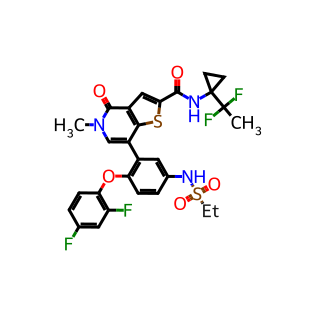 CCS(=O)(=O)Nc1ccc(Oc2ccc(F)cc2F)c(-c2cn(C)c(=O)c3cc(C(=O)NC4(C(C)(F)F)CC4)sc23)c1